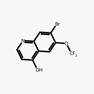 Oc1ccnc2cc(Br)c(OC(F)(F)F)cc12